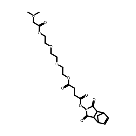 CN(C)CC(=O)OCCOCCOCCOC(=O)CCC(=O)ON1C(=O)C2C3C=CC(C3)C2C1=O